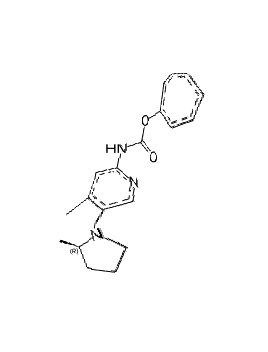 Cc1cc(NC(=O)Oc2ccccc2)ncc1N1CCC[C@H]1C